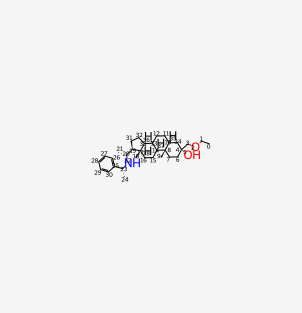 CCOC[C@@]1(O)CC[C@@]2(C)[C@H](CC[C@@H]3[C@@H]2CC[C@]2(C)[C@@H]([C@@H](C)N[C@H](C)c4ccccc4)CC[C@@H]32)C1